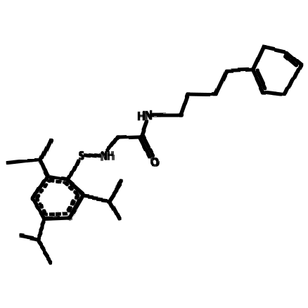 CC(C)c1cc(C(C)C)c(SNCC(=O)NCCCCC2=CCC=CC2)c(C(C)C)c1